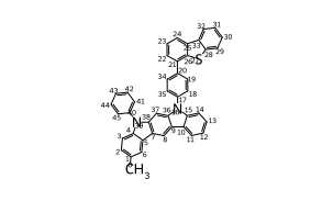 Cc1ccc2c(c1)c1cc3c4ccccc4n(-c4ccc(-c5cccc6c5sc5ccccc56)cc4)c3cc1n2-c1ccccc1